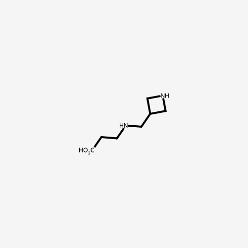 O=C(O)CCNCC1CNC1